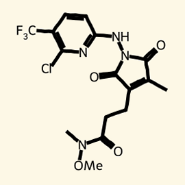 CON(C)C(=O)CCC1=C(C)C(=O)N(Nc2ccc(C(F)(F)F)c(Cl)n2)C1=O